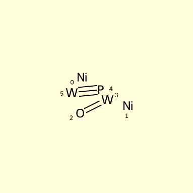 [Ni].[Ni].[O]=[W].[P]#[W]